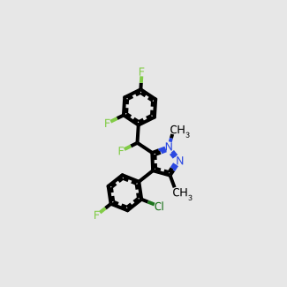 Cc1nn(C)c(C(F)c2ccc(F)cc2F)c1-c1ccc(F)cc1Cl